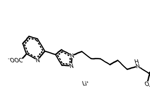 CC(C)(C)OC(=O)NCCCCCCn1cc(-c2cccc(C(=O)[O-])n2)cn1.[Li+]